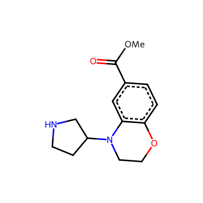 COC(=O)c1ccc2c(c1)N(C1CCNC1)CCO2